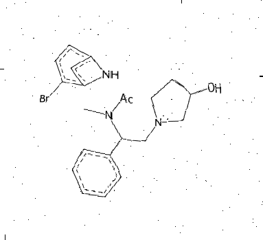 Brc1ccc2cc1N2.CC(=O)N(C)C(CN1CCC(O)C1)c1ccccc1